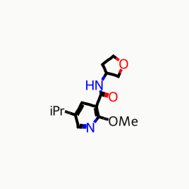 COc1ncc(C(C)C)cc1C(=O)NC1CCOC1